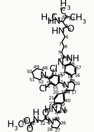 CNC(C(=O)NCCCCc1nc2cc([C@H]3CC[C@H](c4ccc5[nH]c([C@@H]6CCCN6C(=O)CNC(=O)OC)nc5c4)N3c3cc(Cl)c(N4CCCCC4)c(Cl)c3)ccc2[nH]1)C(C)C